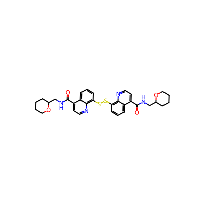 O=C(NCC1CCCCO1)c1ccnc2c(SSc3cccc4c(C(=O)NCC5CCCCO5)ccnc34)cccc12